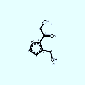 CCC(=O)c1sccc1CO